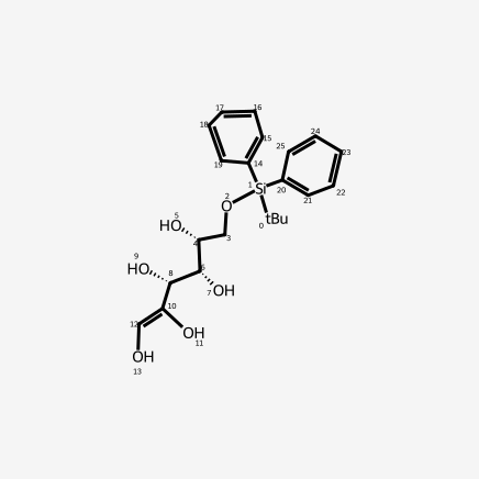 CC(C)(C)[Si](OC[C@@H](O)[C@H](O)[C@@H](O)C(O)=CO)(c1ccccc1)c1ccccc1